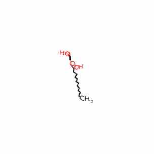 CCCCCCCCCCCCC(O)COCCO